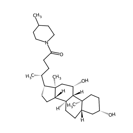 CC1CCN(C(=O)CC[C@@H](C)[C@H]2CC[C@H]3[C@@H]4CC[C@H]5C[C@@H](O)CC[C@]5(C)[C@H]4[C@@H](O)C[C@]23C)CC1